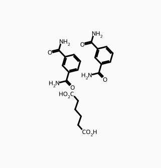 NC(=O)c1cccc(C(N)=O)c1.NC(=O)c1cccc(C(N)=O)c1.O=C(O)CCCCC(=O)O